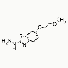 COCCOc1ccc2nc(NN)sc2c1